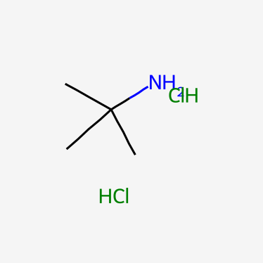 CC(C)(C)N.Cl.Cl